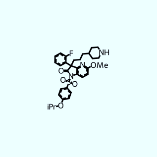 COc1ccc2c(n1)C(CCCC1CCNCC1)(c1ccccc1F)C(=O)N2S(=O)(=O)c1ccc(OC(C)C)cc1